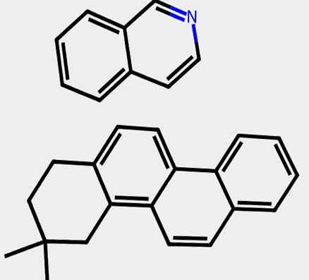 CC1(C)CCc2ccc3c(ccc4ccccc43)c2C1.c1ccc2cnccc2c1